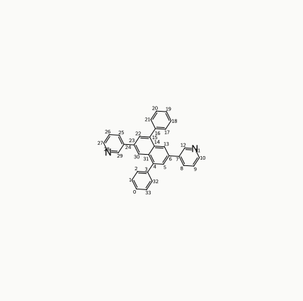 c1ccc(-c2cc(-c3cccnc3)cc3c(-c4ccccc4)cc(-c4cccnc4)cc23)cc1